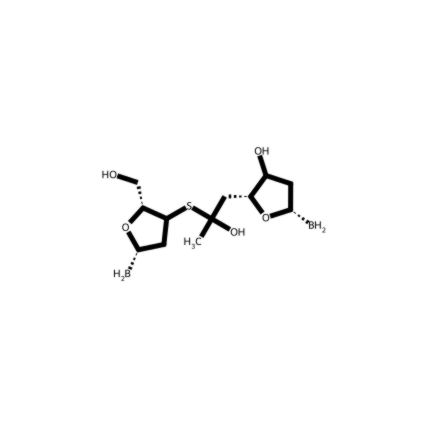 B[C@H]1CC(O)[C@@H](CC(C)(O)SC2C[C@H](B)O[C@@H]2CO)O1